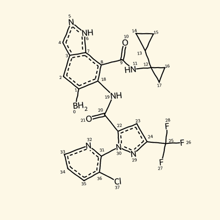 Bc1cc2cn[nH]c2c(C(=O)NC2(C3CC3)CC2)c1NC(=O)c1cc(C(F)(F)F)nn1-c1ncccc1Cl